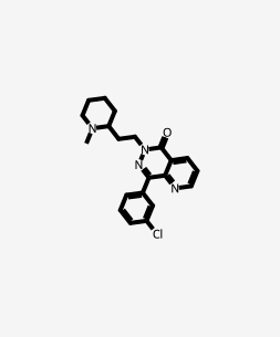 CN1CCCCC1CCn1nc(-c2cccc(Cl)c2)c2ncccc2c1=O